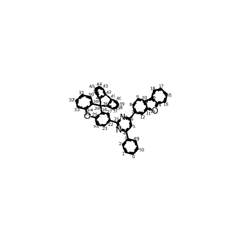 c1ccc(-c2cc(-c3ccc4c(c3)oc3ccccc34)nc(-c3ccc4c(c3)C3(c5ccccc5O4)c4ccccc4-c4ccccc43)n2)cc1